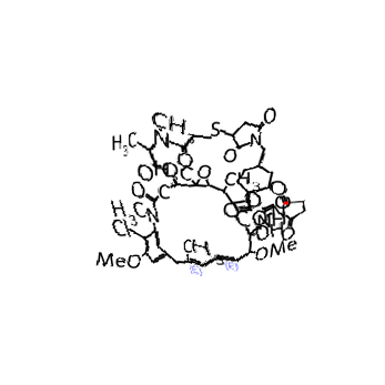 COc1cc2cc(c1Cl)N(C)C(=O)CC(OC(=O)C(C)N(C)C(=O)CCSC1CC(=O)N(CC3CCC(C(=O)ON4C(=O)CCC4=O)CC3)C1=O)C1(C)OC1C(C)C1CC(O)(NC(=O)O1)C(OC)/C=C/C=C(\C)C2